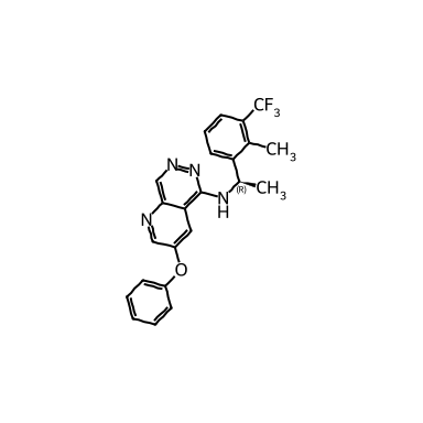 Cc1c([C@@H](C)Nc2nncc3ncc(Oc4ccccc4)cc23)cccc1C(F)(F)F